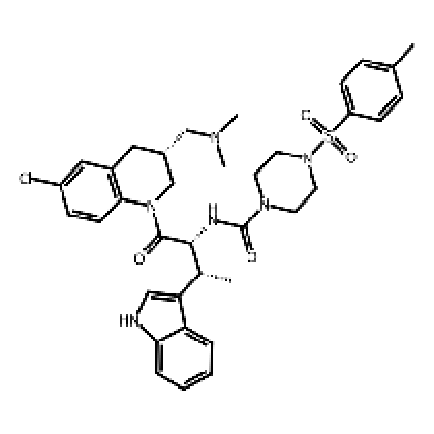 Cc1ccc(S(=O)(=O)N2CCN(C(=O)N[C@@H](C(=O)N3C[C@@H](CN(C)C)Cc4cc(Cl)ccc43)[C@H](C)c3c[nH]c4ccccc34)CC2)cc1